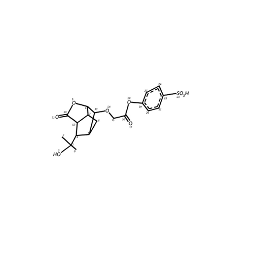 CC(C)(O)C1C2CC3C(OC(=O)C31)C2OCC(=O)Oc1ccc(S(=O)(=O)O)cc1